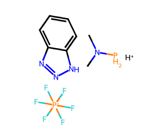 CN(C)P.F[P-](F)(F)(F)(F)F.[H+].c1ccc2[nH]nnc2c1